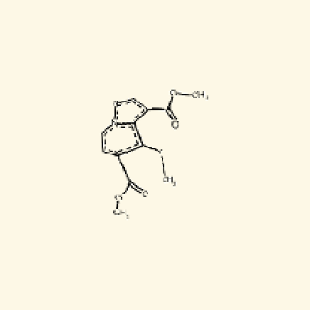 COC(=O)c1ccn2ncc(C(=O)OC)c2c1OC